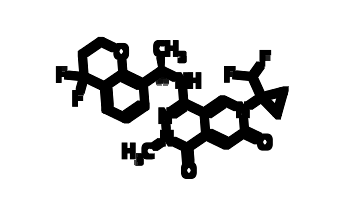 C[C@@H](Nc1nn(C)c(=O)c2cc(=O)n(C3(C(F)F)CC3)cc12)c1cccc2c1OCCC2(F)F